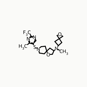 Cc1nc(C(F)(F)F)ncc1SN1CCC2(CC1)CC(N(C)C1CC3(COC3)C1)CO2